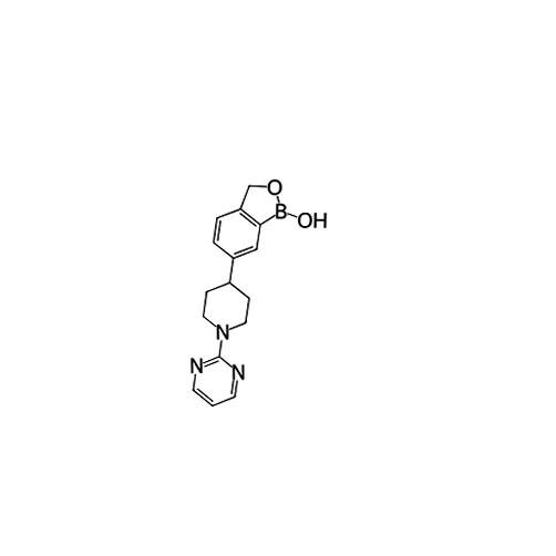 OB1OCc2ccc(C3CCN(c4ncccn4)CC3)cc21